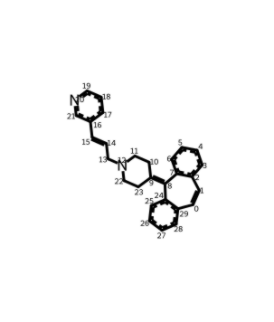 C1=Cc2ccccc2C(=C2CCN(C/C=C/c3cccnc3)CC2)c2ccccc21